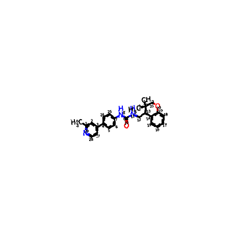 Cc1cc(-c2ccc(NC(=O)NCC3c4ccccc4OCC3(C)C)cc2)ccn1